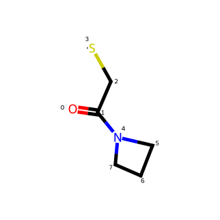 O=C(C[S])N1CCC1